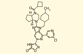 CC1CCC(Cn2c(N3CCN(C(=O)C4CCC4)[C@@H]4CCC[C@H]43)nc3cc(-c4noc(=O)[nH]4)nc(-c4cncc(Cl)c4)c32)CC1